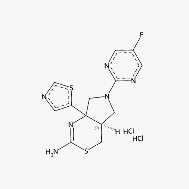 Cl.Cl.NC1=NC2(c3cncs3)CN(c3ncc(F)cn3)C[C@H]2CS1